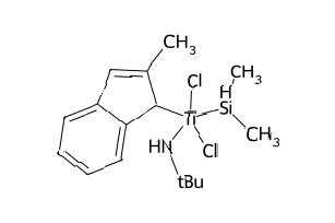 CC1=Cc2ccccc2[CH]1[Ti]([Cl])([Cl])([NH]C(C)(C)C)[SiH](C)C